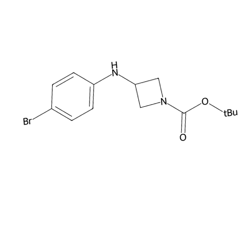 CC(C)(C)OC(=O)N1CC(Nc2ccc(Br)cc2)C1